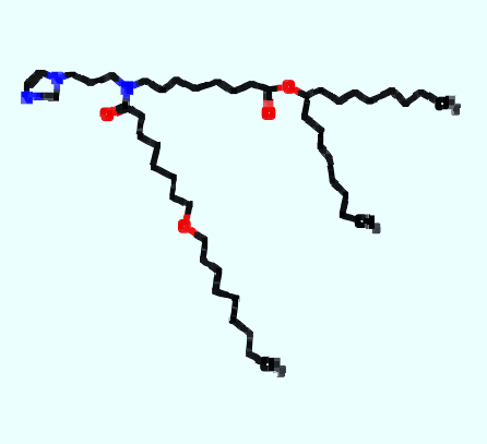 CCCCCCCCCOCCCCCCCC(=O)N(CCCCCCCC(=O)OC(CCCCCCCC)CCCCCCCC)CCCn1ccnc1